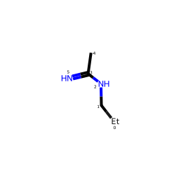 [CH2]CCNC(C)=N